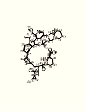 CCn1c(-c2cc(N3CCN4CCCC[C@@H]4C3)cnc2[C@H](C)OC)c2c3cc(ccc31)-c1csc(n1)C[C@H](NC(=O)[C@H]1C[C@@H]1C)C(=O)N1CCC[C@H](N1)C(=O)OCC(C)(C)C2